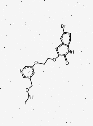 O=c1[nH]c2ccc(Br)cc2cc1OCCOc1cncc(COPI)c1